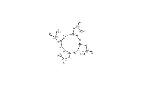 C[C@@H](O)CN1CCN(C[C@@H](C)O)CCN(C[C@@H](C)O)CCN(C[C@@H](C)O)CC1